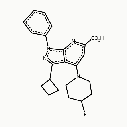 O=C(O)c1cc(N2CCC(F)CC2)c2c(C3CCC3)nn(-c3ccccc3)c2n1